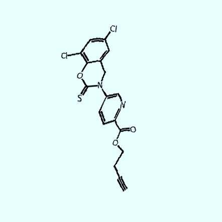 C#CCCOC(=O)c1ccc(N2Cc3cc(Cl)cc(Cl)c3OC2=S)cn1